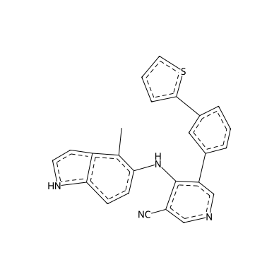 Cc1c(Nc2c(C#N)cncc2-c2cccc(-c3cccs3)c2)ccc2[nH]ccc12